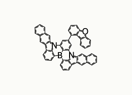 c1ccc2cc3c(cc2c1)c1cccc2c1n3-c1cc(-c3cccc4oc5ccccc5c34)cc3c1B2c1cccc2c4cc5ccccc5cc4n-3c12